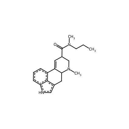 CCCN(C)C(=O)C1C=C2c3cccc4[nH]cc(c34)CC2N(C)C1